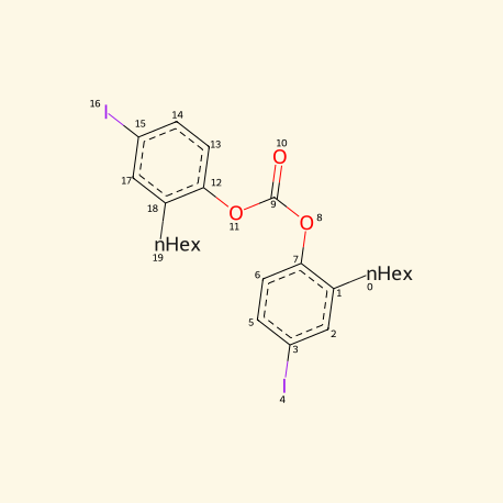 CCCCCCc1cc(I)ccc1OC(=O)Oc1ccc(I)cc1CCCCCC